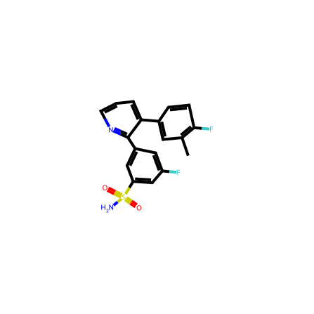 Cc1cc(-c2cccnc2-c2cc(F)cc(S(N)(=O)=O)c2)ccc1F